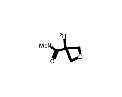 [2H]C1(C(=O)NC)COC1